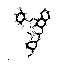 COc1ccc(OC)c(NC(=O)Cc2cc3ccccc3c(N=Nc3cc(Cl)ccc3Cl)c2O)c1